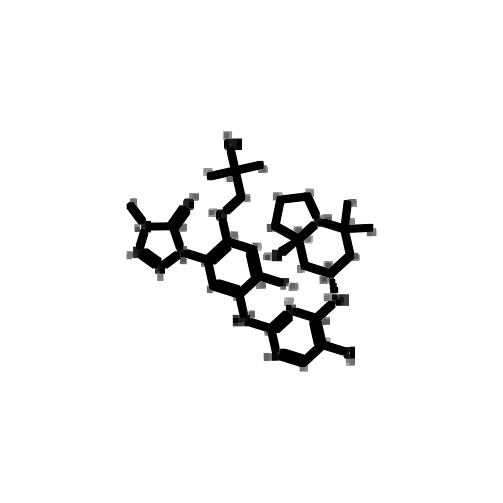 Cn1nnn(-c2cc(Nc3ncc(Cl)c(N[C@@H]4C[C@@H]5CCCN5C(C)(C)C4)n3)c(F)cc2OCC(C)(C)O)c1=O